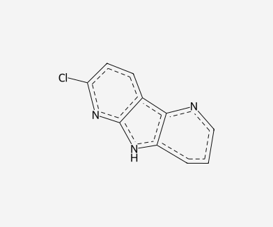 Clc1ccc2c(n1)[nH]c1cccnc12